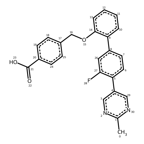 Cc1ncc(-c2ccc(-c3ccccc3OCc3ccc(C(=O)O)cc3)cc2F)cn1